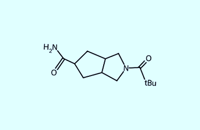 CC(C)(C)C(=O)N1CC2CC(C(N)=O)CC2C1